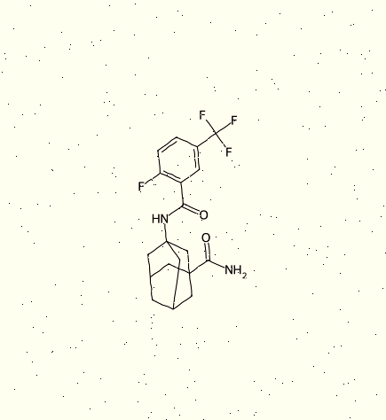 NC(=O)C12CC3CC(CC(NC(=O)c4cc(C(F)(F)F)ccc4F)(C3)C1)C2